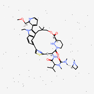 CCn1c(-c2cccnc2[C@H](C)OC)c2c3cc(ccc31)-c1csc(n1)C[C@H](NC(=O)C(C(C)C)N(C)C(=O)N(C)C[C@H]1CCN1C)C(=O)N1CCC[C@H](N1)C(=O)OCC(C)(C)C2